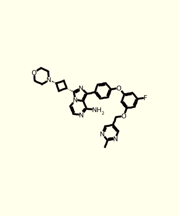 Cc1ncc(COc2cc(F)cc(Oc3ccc(-c4nc([C@H]5C[C@@H](N6CCOCC6)C5)n5ccnc(N)c45)cc3)c2)cn1